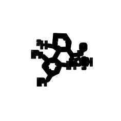 [2H]c1cccc(C(P(=O)=O)S(=O)(=O)O)c1-c1c(C(C)C)cc(C(C)C)cc1C(C)C